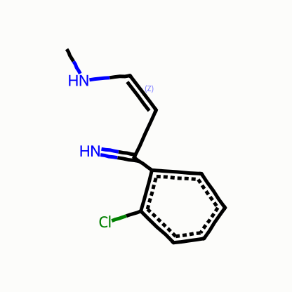 CN/C=C\C(=N)c1ccccc1Cl